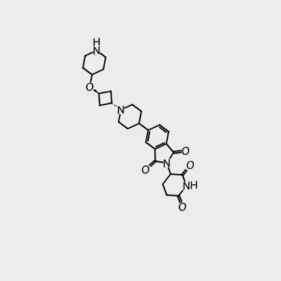 O=C1CCC(N2C(=O)c3ccc(C4CCN([C@H]5C[C@H](OC6CCNCC6)C5)CC4)cc3C2=O)C(=O)N1